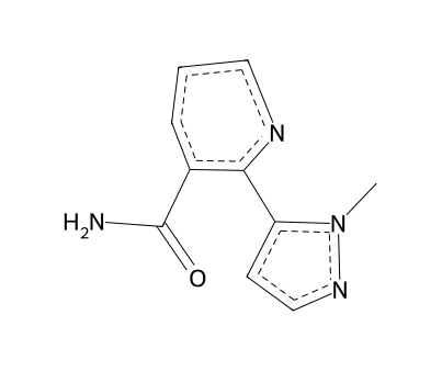 Cn1nccc1-c1ncccc1C(N)=O